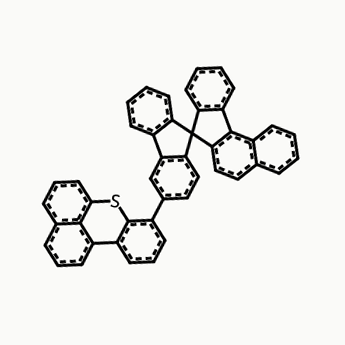 c1ccc2c(c1)-c1cc(-c3cccc4c3Sc3cccc5cccc-4c35)ccc1C21c2ccccc2-c2c1ccc1ccccc21